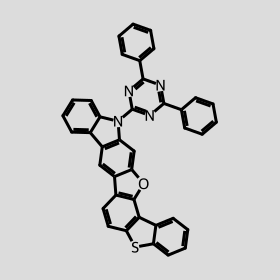 c1ccc(-c2nc(-c3ccccc3)nc(-n3c4ccccc4c4cc5c(cc43)oc3c5ccc4sc5ccccc5c43)n2)cc1